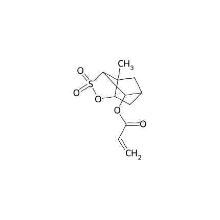 C=CC(=O)OC1C2CC3OS(=O)(=O)C1C3(C)C2